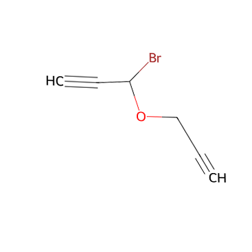 C#CCOC(Br)C#C